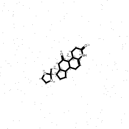 CC1([C@H]2CCC3C4CC=C5NC(=O)CC[C@]5(C)C4C(=O)C[C@@]32C)OCCO1